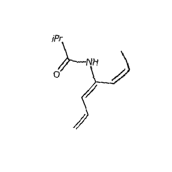 C=C/C=C(\C=C/C)NC(=O)C(C)C